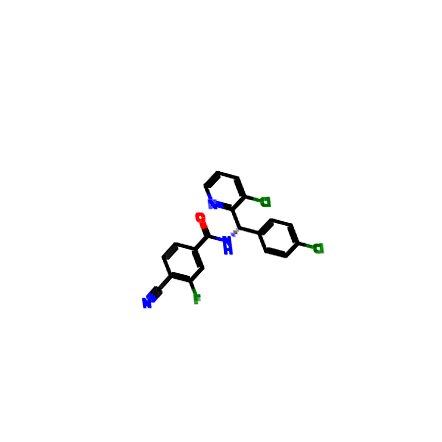 N#Cc1ccc(C(=O)N[C@@H](c2ccc(Cl)cc2)c2ncccc2Cl)cc1F